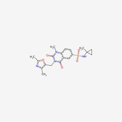 Cc1nc(C)c(Cn2c(=O)c3cc(S(=O)(=O)NC4(C)CC4)ccc3n(C)c2=O)o1